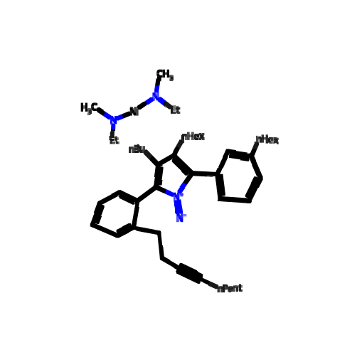 CCCCCC#CCCc1ccccc1C1=C(CCCC)C(CCCCCC)=C(c2cccc(CCCCCC)c2)[N+]1=[N-].CC[N](C)[Ni][N](C)CC